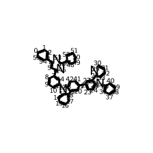 c1ccc(-c2cc(-c3cccc(-n4c5ccccc5c5cc(-c6ccc7c(c6)c6ncccc6n7-c6ccccc6)ccc54)c3)nc(-c3ccccc3)n2)cc1